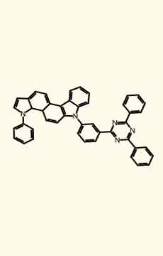 C1=CN(c2ccccc2)C2C1=CC=C1c3c(n(-c4cccc(-c5nc(-c6ccccc6)nc(-c6ccccc6)n5)c4)c4ccccc34)C=CC12